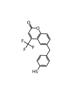 O=c1cc(C(F)(F)F)c2cc(Cc3ccc(S)cc3)ccc2o1